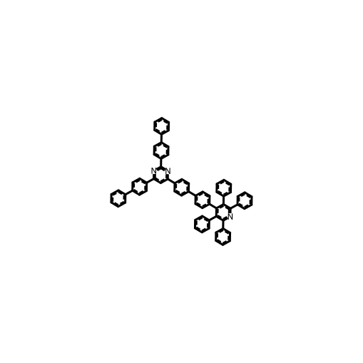 c1ccc(-c2ccc(-c3cc(-c4ccc(-c5ccc(-c6c(-c7ccccc7)c(-c7ccccc7)nc(-c7ccccc7)c6-c6ccccc6)cc5)cc4)nc(-c4ccc(-c5ccccc5)cc4)n3)cc2)cc1